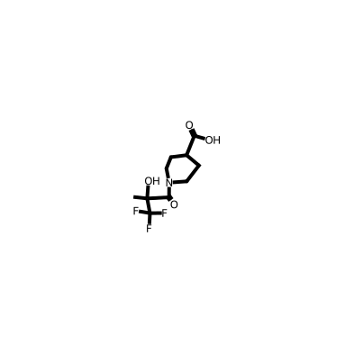 CC(O)(C(=O)N1CCC(C(=O)O)CC1)C(F)(F)F